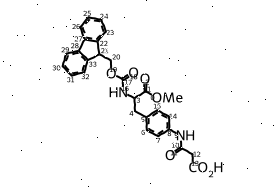 COC(=O)C(Cc1ccc(NC(=O)CC(=O)O)cc1)NC(=O)OCC1c2ccccc2-c2ccccc21